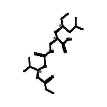 CCC(=O)O[C@H](OC(=O)NC[C@@H](C[C@@H](CC)CC(C)C)C(=O)O)C(C)C